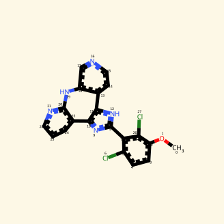 COc1ccc(Cl)c(-c2nc3c([nH]2)-c2ccncc2Nc2ncccc2-3)c1Cl